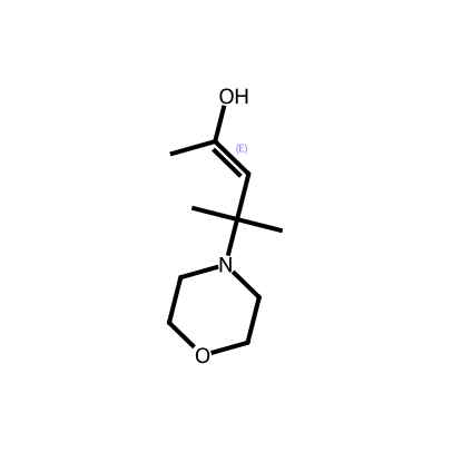 C/C(O)=C\C(C)(C)N1CCOCC1